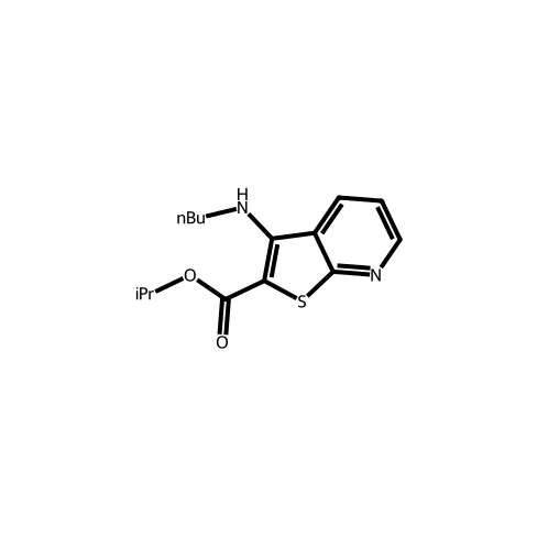 CCCCNc1c(C(=O)OC(C)C)sc2ncccc12